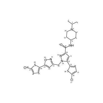 CC(C)N1CCC(NC(=O)c2cc(-c3ccc(Cl)s3)n(Cc3cc(-c4ccc(Cl)s4)on3)n2)CC1